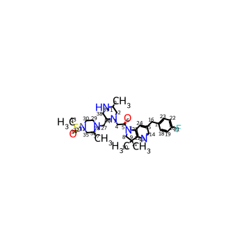 CC1CN(CC(=O)N2CC(C)(C)c3ncc(Cc4ccc(F)cc4)cc32)[C@@H](CN2CCN([S+](C)[O-])CC2C)CN1